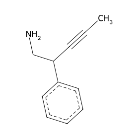 CC#CC(CN)c1ccccc1